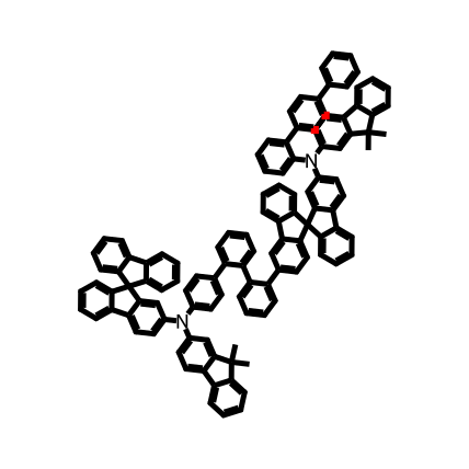 CC1(C)c2ccccc2-c2ccc(N(c3ccc(-c4ccccc4-c4ccccc4-c4ccc5c(c4)-c4ccccc4C54c5ccccc5-c5ccc(N(c6ccc7c(c6)C(C)(C)c6ccccc6-7)c6ccccc6-c6ccc(-c7ccccc7)cc6)cc54)cc3)c3ccc4c(c3)C3(c5ccccc5-c5ccccc53)c3ccccc3-4)cc21